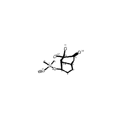 CC(C)(C)[Si](C)(C)OC1CCC2C(=O)C(Cl)(Cl)C12